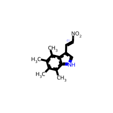 Cc1c(C)c(C)c2c(/C=C/[N+](=O)[O-])c[nH]c2c1C